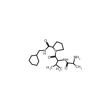 CC(N)C(=O)NC(C(=O)N1CCCC1C(=O)NCC1CCCCC1)C(C)C